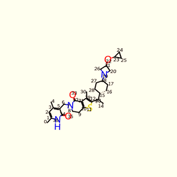 Cc1cc(C)c(CN2CCc3sc([C@H](C)[C@H]4CC[C@H](N5CC(OC6CC6)C5)CC4)c(C)c3C2=O)c(=O)[nH]1